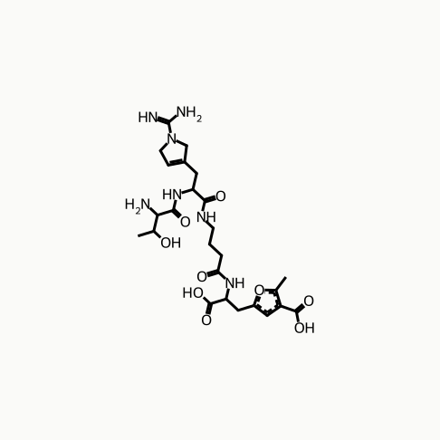 Cc1oc(CC(NC(=O)CCCNC(=O)C(CC2=CCN(C(=N)N)C2)NC(=O)C(N)C(C)O)C(=O)O)cc1C(=O)O